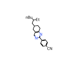 CCCCC(CC)CC1CCc2nc(-c3ccc(C#N)cc3)ncc2C1